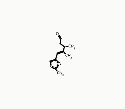 C/C(=C\c1csc(C)n1)[C@H](C)CC=O